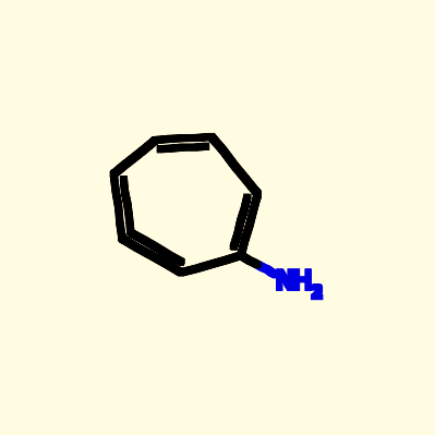 NC1=CC=CC=C=C1